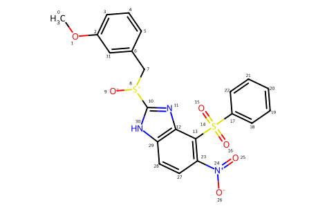 COc1cccc(C[S+]([O-])c2nc3c(S(=O)(=O)c4ccccc4)c([N+](=O)[O-])ccc3[nH]2)c1